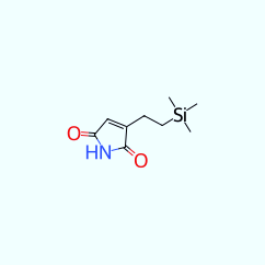 C[Si](C)(C)CCC1=CC(=O)NC1=O